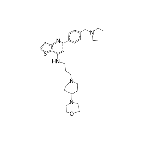 CCN(CC)Cc1ccc(-c2cc(NCCCN3CCC(N4CCOCC4)CC3)c3sccc3n2)cc1